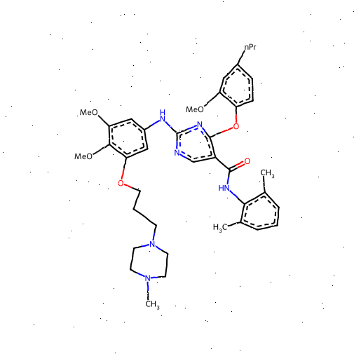 CCCc1ccc(Oc2nc(Nc3cc(OC)c(OC)c(OCCCN4CCN(C)CC4)c3)ncc2C(=O)Nc2c(C)cccc2C)c(OC)c1